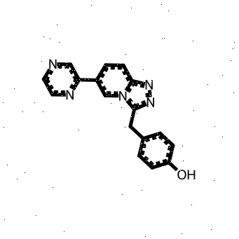 Oc1ccc(Cc2nnc3ccc(-c4cnccn4)cn23)cc1